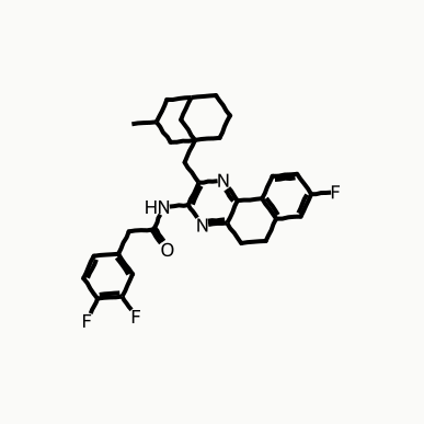 CC1CC2CCCC(Cc3nc4c(nc3NC(=O)Cc3ccc(F)c(F)c3)CCc3cc(F)ccc3-4)(C1)C2